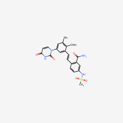 COc1c(/C=C/c2ccc(NS(C)(=O)=O)cc2C(N)=O)cc(-n2ccc(=O)[nH]c2=O)cc1C(C)(C)C